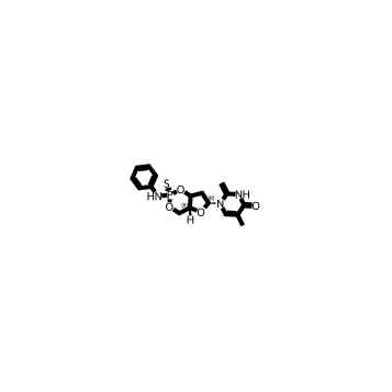 C=C1NC(=O)C(C)=CN1[C@H]1CC2OP(=S)(Nc3ccccc3)OC[C@H]2O1